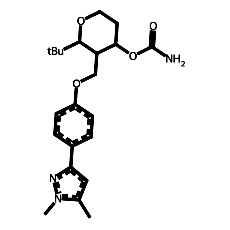 Cc1cc(-c2ccc(OCC3C(OC(N)=O)CCOC3C(C)(C)C)cc2)nn1C